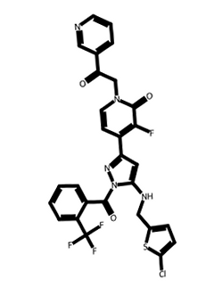 O=C(Cn1ccc(-c2cc(NCc3ccc(Cl)s3)n(C(=O)c3ccccc3C(F)(F)F)n2)c(F)c1=O)c1cccnc1